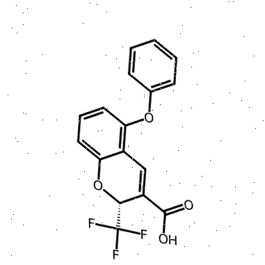 O=C(O)C1=Cc2c(Oc3ccccc3)cccc2O[C@H]1C(F)(F)F